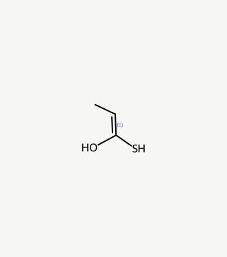 C/C=C(\O)S